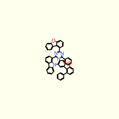 c1ccc(-c2nc(-c3cccc4oc5ccccc5c34)nc(-c3cccc4c5ccccc5n(-c5ccc6oc7cccc(-c8ccccc8)c7c6c5)c34)n2)cc1